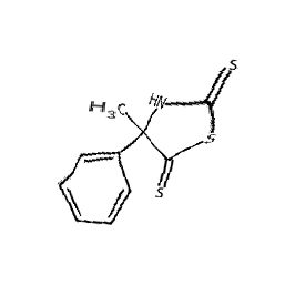 CC1(c2ccccc2)NC(=S)SC1=S